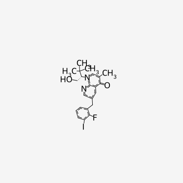 Cc1cn([C@H](CO)C(C)(C)C)c2ncc(Cc3cccc(I)c3F)cc2c1=O